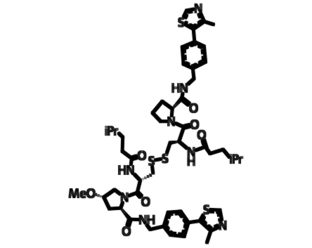 CO[C@H]1C[C@H](C(=O)NCc2ccc(-c3scnc3C)cc2)N(C(=O)[C@@H](CSSC[C@H](NC(=O)CCC(C)C)C(=O)N2CCC[C@H]2C(=O)NCc2ccc(-c3scnc3C)cc2)NC(=O)CCC(C)C)C1